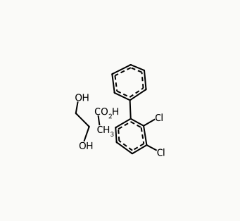 CC(=O)O.Clc1cccc(-c2ccccc2)c1Cl.OCCO